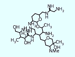 CNC1CC(CC(C(CN)NC(=N)C(O)C(C)C(N)CO)C(N)C(C)OC2OC(CNC(=N)CN)CCC2N)OCC1(C)O